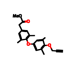 C#CCOc1c(C)cc(Oc2c(C)cc(CC(=O)OC)cc2C)cc1C